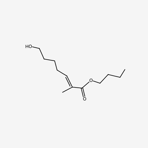 CCCCOC(=O)C(C)=CCCCCO